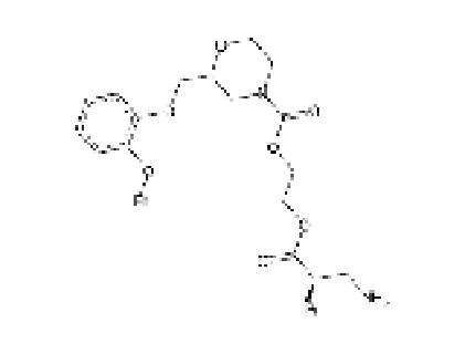 CCOc1ccccc1OCC1CN(C(=O)OCCOC(=O)[C@@H](CN)C(C)C)CCO1